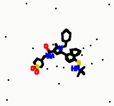 Cc1c(C(=O)NCC2CCS(=O)(=O)CC2)cc(-c2ccc(SNC(C)(C)C)c3ccccc23)n1CC1CCCCC1